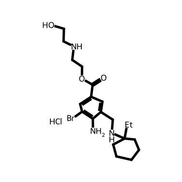 CCC1(NCc2cc(C(=O)OCCNCCO)cc(Br)c2N)CCCCC1.Cl